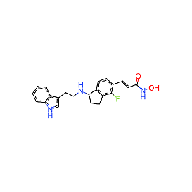 O=C(C=Cc1ccc2c(c1F)CCC2NCCc1c[nH]c2ccccc12)NO